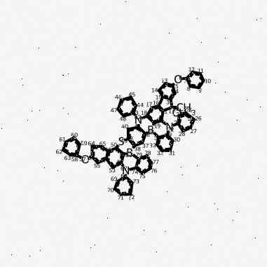 CC1(C)c2cc(Oc3ccccc3)ccc2-c2cc3c4c(c21)N(c1ccccc1)c1ccccc1B4c1cc2c(cc1N3c1ccccc1)Sc1c3c(cc4cc(Oc5ccccc5)ccc14)N(c1ccccc1)c1ccccc1B23